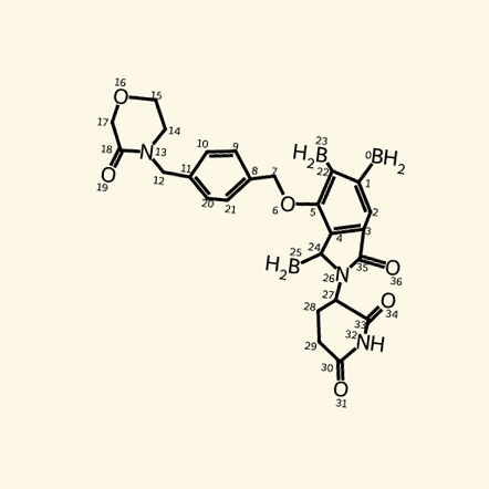 Bc1cc2c(c(OCc3ccc(CN4CCOCC4=O)cc3)c1B)C(B)N(C1CCC(=O)NC1=O)C2=O